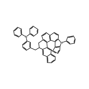 c1ccc(N(c2ccccc2)c2cccc(CC3Cc4ccc5ccc6c7c5c4-c4c3cc3ccccc3c4-c3cccc(c37)n6-c3ccccc3)c2)cc1